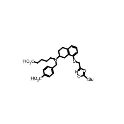 CC(C)(C)c1nc(COc2cccc3c2CC(N(CCCCC(=O)O)Cc2ccc(C(=O)O)cc2)CC3)no1